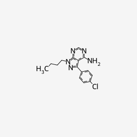 CCCCn1nc(-c2ccc(Cl)cc2)c2c(N)ncnc21